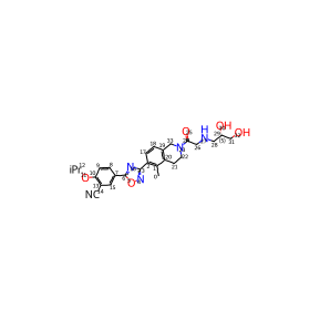 Cc1c(-c2noc(-c3ccc(OC(C)C)c(C#N)c3)n2)ccc2c1CCN(C(=O)CNC[C@H](O)CO)C2